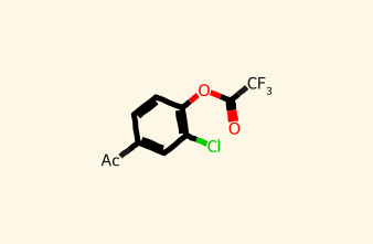 CC(=O)c1ccc(OC(=O)C(F)(F)F)c(Cl)c1